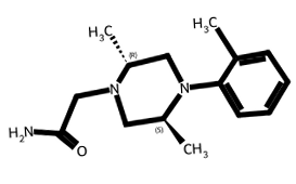 Cc1ccccc1N1C[C@@H](C)N(CC(N)=O)C[C@@H]1C